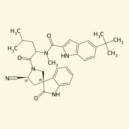 CC(C)CC(C(=O)N1C[C@]2(C[C@H]1C#N)C(=O)Nc1ccccc12)N(C)C(=O)c1cc2cc(C(C)(C)C)ccc2[nH]1